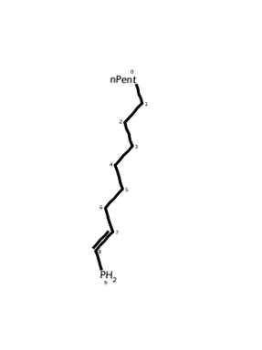 CCCCCCCCCCCC=CP